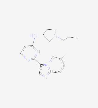 CCCN1CC[C@@H](Nc2ccnc(-c3cnc4ccc(F)cn34)n2)C1